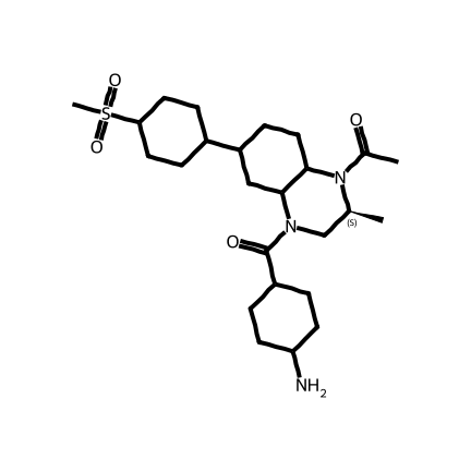 CC(=O)N1C2CCC(C3CCC(S(C)(=O)=O)CC3)CC2N(C(=O)C2CCC(N)CC2)C[C@@H]1C